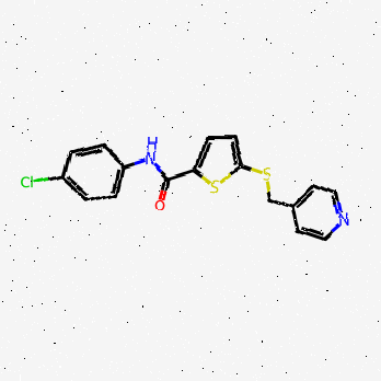 O=C(Nc1ccc(Cl)cc1)c1ccc(SCc2ccncc2)s1